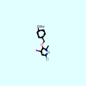 COc1ccc(COc2c(I)cc(Cl)nc2C)cc1